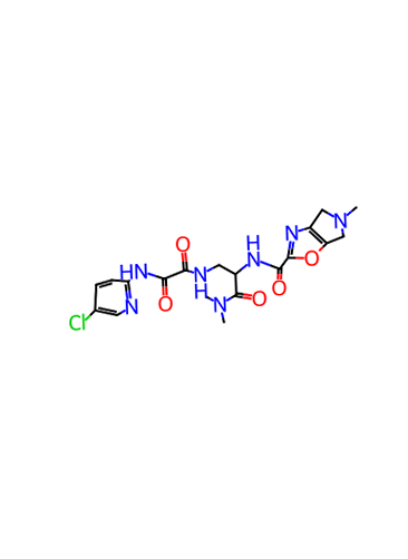 CN1Cc2nc(C(=O)NC(CNC(=O)C(=O)Nc3ccc(Cl)cn3)C(=O)N(C)C)oc2C1